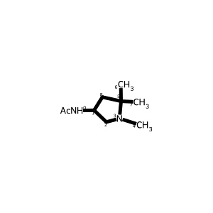 CC(=O)NC1CN(C)C(C)(C)C1